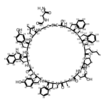 CCCC[C@H]1C(=O)N2CCC[C@@H]2C(=O)N[C@@H](CC(=O)O)C(=O)N[C@@H](C)C(=O)N(C)C(Cc2ccccc2)C(=O)N[C@@H](Cc2ccc(O)cc2)C(=O)N(C)C(=O)N[C@@H](Cc2c[nH]c3ccccc23)C(=O)N[C@@H](Cc2ccc(O)cc2)C(=O)N[C@@H](CC(C)C)C(=O)N[C@H](C(=O)NCC(N)=O)CSCC(=O)N[C@@H](Cc2ccccc2)C(=O)N(C)[C@@H](Cc2ccccc2)C(=O)N1C